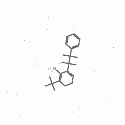 CC(C)(C)C1=C(N)C(C(C)(C)C(C)(C)c2ccccc2)=CCC1